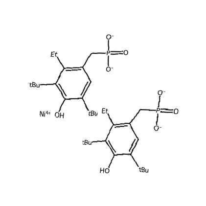 CCc1c(CP(=O)([O-])[O-])cc(C(C)(C)C)c(O)c1C(C)(C)C.CCc1c(CP(=O)([O-])[O-])cc(C(C)(C)C)c(O)c1C(C)(C)C.[Ni+4]